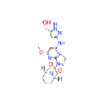 COc1cc(Nc2cc(CO)[nH]n2)nc(N(C)[C@@H]2C[C@H]3CCC[C@@H](C2)N3S(=O)(=O)N2CCCC2)n1